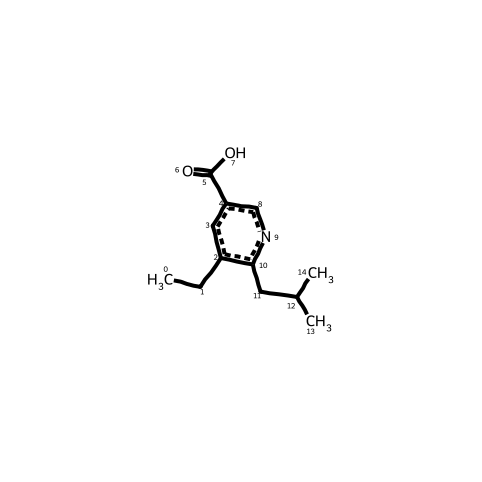 CCc1cc(C(=O)O)cnc1CC(C)C